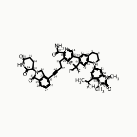 CC(C)c1cc(N2CCCc3cc(-c4cnc(C(N)=O)c(CCC#Cc5cccc6c5CN(C5CCC(=O)NC5=O)C6=O)c4)c(C(F)(F)F)cc32)cc2c1n(C)c(=O)n2C